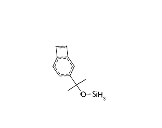 CC(C)(O[SiH3])c1ccc2c(c1)C=C2